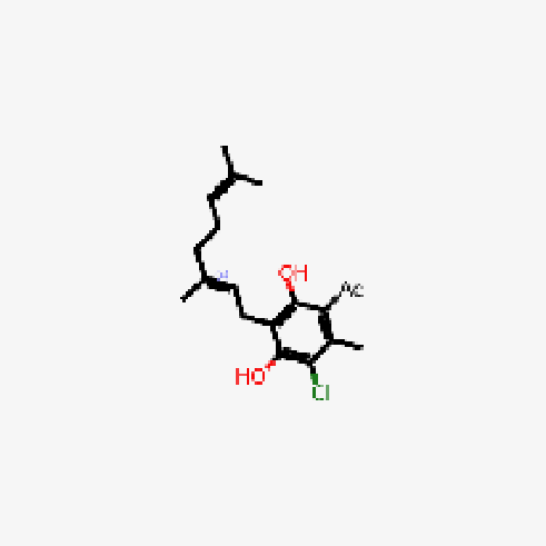 CC(=O)c1c(C)c(Cl)c(O)c(C/C=C(\C)CCC=C(C)C)c1O